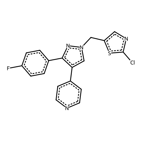 Fc1ccc(-c2nn(Cc3cnc(Cl)s3)cc2-c2ccncc2)cc1